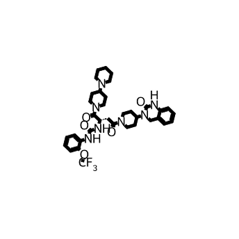 O=C(Nc1ccccc1OC(F)(F)F)N[C@@H](CC(=O)N1CCC(N2Cc3ccccc3NC2=O)CC1)C(=O)N1CCC(N2CCCCC2)CC1